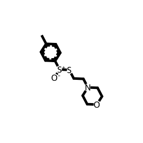 Cc1ccc([S+]([O-])SCCN2CCOCC2)cc1